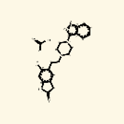 CC(=O)O.O=C1Cc2cc(CCN3CCN(c4snc5ccccc45)CC3)c(Cl)cc2N1